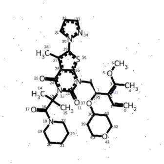 C=C/C(=C(\C)OC)[C@H](Cn1c(=O)n(C(C)(C)C(=O)N2CCCCC2)c(=O)c2c(C)c(-n3cccn3)sc21)OC1CCOCC1